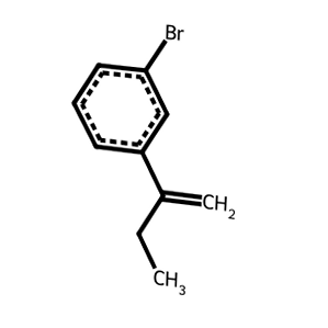 C=C(CC)c1cccc(Br)c1